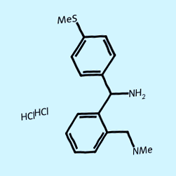 CNCc1ccccc1C(N)c1ccc(SC)cc1.Cl.Cl